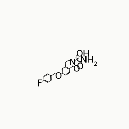 NC(=O)[C@@H](CO)N1CCc2cc(OCc3ccc(F)cc3)ccc2C1=O